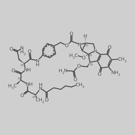 CCCCCC(=O)N[C@@H](C)C(=O)N[C@@H](C)C(=O)N[C@@H](CC(N)=O)C(=O)Nc1ccc(COC(=O)N2C3[C@@H]2CN2C4=C(C(=O)C(N)=C(C)C4=O)[C@@H](COC(N)=O)[C@@]32OC)cc1